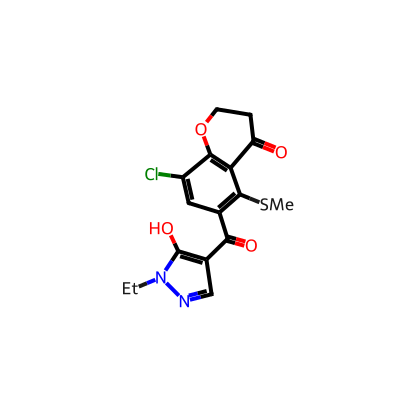 CCn1ncc(C(=O)c2cc(Cl)c3c(c2SC)C(=O)CCO3)c1O